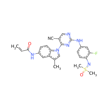 C=CC(=O)Nc1ccc2c(c1)c(C)cn2-c1nc(Nc2ccc(N=S(C)(C)=O)c(F)c2)ncc1C#N